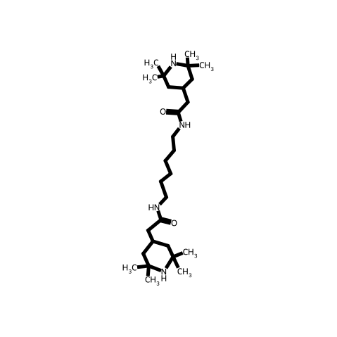 CC1(C)CC(CC(=O)NCCCCCCNC(=O)CC2CC(C)(C)NC(C)(C)C2)CC(C)(C)N1